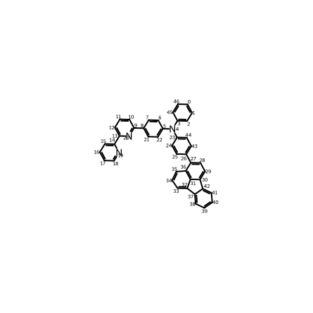 c1ccc(N(c2ccc(-c3cccc(-c4ccccn4)n3)cc2)c2ccc(-c3ccc4c5c(cccc35)-c3ccccc3-4)cc2)cc1